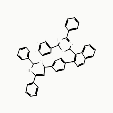 C1=C(c2ccccc2)NC(c2ccccc2)NC1c1ccc(-c2ccc3ccccc3c2C2N=C(c3ccccc3)NC(c3ccccc3)N2)cc1